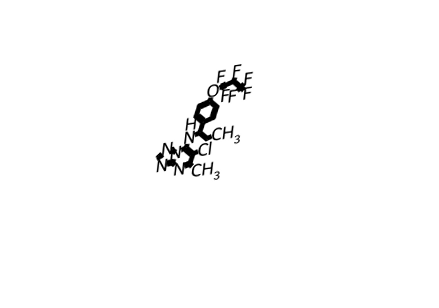 CCC(Nc1c(Cl)c(C)nc2ncnn12)c1ccc(OC(F)(F)C(F)C(F)(F)F)cc1